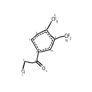 O=C(CCl)c1ccc(C(F)(F)F)c(C(F)(F)F)c1